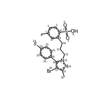 Cc1ccc(S(=O)(=O)O)c(CCCn2nc(C)c(Br)c2-c2ccc(F)cc2)c1